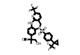 [C-]#[N+]C(C)(CO)c1ccc2c(c1)N(S(=O)(=O)c1ccc(C3(C(F)(F)F)CC3)cc1)Cc1ccc(C(F)(F)F)nc1N2